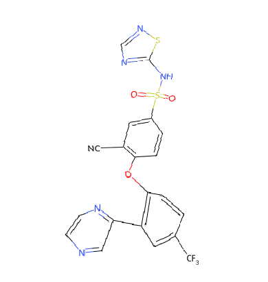 N#Cc1cc(S(=O)(=O)Nc2ncns2)ccc1Oc1ccc(C(F)(F)F)cc1-c1cnccn1